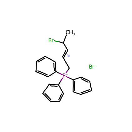 CC(Br)/C=C/C[P+](c1ccccc1)(c1ccccc1)c1ccccc1.[Br-]